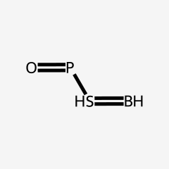 B=[SH]P=O